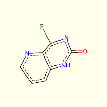 O=c1nc(F)c2ncccc2[nH]1